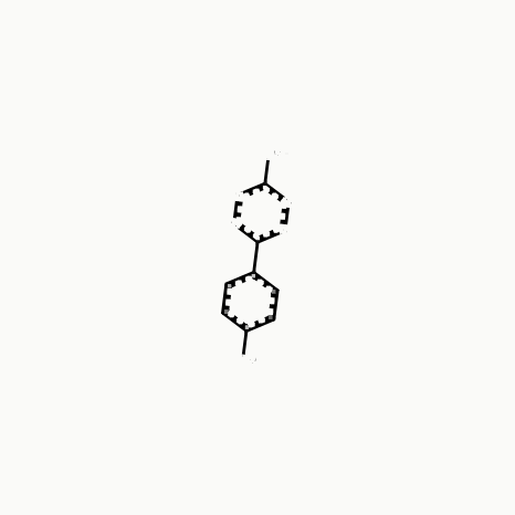 COc1ccc(-c2nnc(SC)nn2)cc1